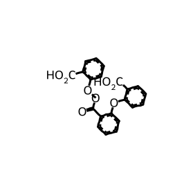 O=C(O)c1ccccc1OOC(=O)c1ccccc1Oc1ccccc1C(=O)O